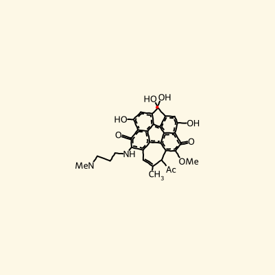 CNCCCNc1c2c3c4c(c(OC)c(=O)c5c(O)cc(CO)c(c6c(CO)cc(O)c(c1=O)c63)c54)C(C(C)=O)C(C)=C2